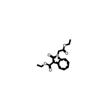 CCOC(=O)Cn1c2cccccc-2c(C(=O)OCC)c1=O